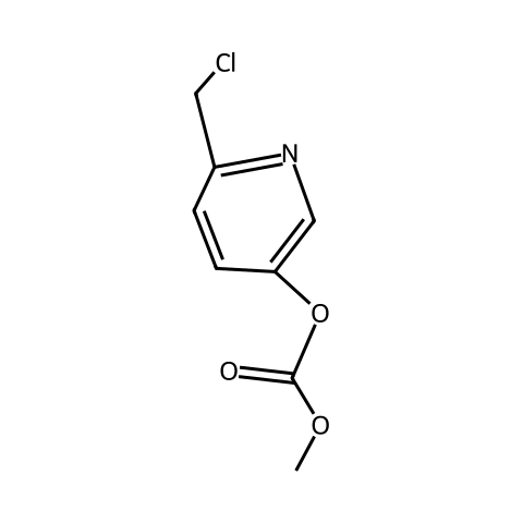 COC(=O)Oc1ccc(CCl)nc1